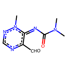 CN(C)C(=O)/N=c1\c(C=O)ncnn1C